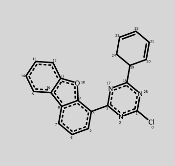 Clc1nc(-c2cccc3c2oc2ccccc23)nc(C2C=CC=CC2)n1